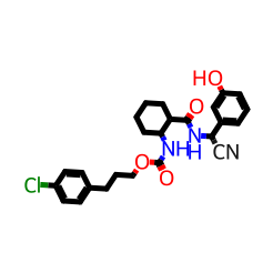 N#CC(NC(=O)C1CCCCC1NC(=O)OCCCc1ccc(Cl)cc1)c1cccc(O)c1